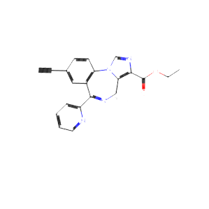 C#Cc1ccc2c(c1)C(c1ccccn1)=N[C@@H](C)c1c(C(=O)OCC)ncn1-2